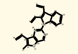 C=Cc1c(C=C)n(-c2ncc3oc(C)c(C=C)c3n2)c2ccccc12